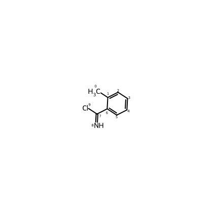 Cc1ccccc1C(=N)Cl